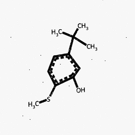 CSc1ccc(C(C)(C)C)cc1O